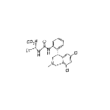 CCC(NC(=O)Nc1ccccc1[C@H]1CN(C)Cc2c(Cl)cc(Cl)cc21)C(=O)O